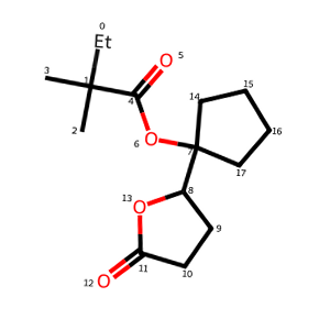 CCC(C)(C)C(=O)OC1(C2CCC(=O)O2)CCCC1